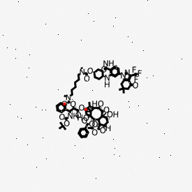 CC(=O)O[C@@]12CO[C@@H]1C[C@H](O)[C@@]1(C)C(=O)[C@H](O)C3=C(C)[C@@H](OC(=O)[C@H](OC(=O)N(C)CCCCCCN(C)C(=O)O[C@H]4CC[C@H](Nc5cc(-n6nc(C(F)(F)F)c7c6CC(C)(C)CC7=O)ccc5C(N)=O)CC4)[C@@H](NC(=O)OC(C)(C)C)c4ccccc4)C[C@@](O)([C@@H](OC(=O)c4ccccc4)C12)C3(C)C